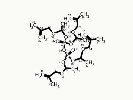 C=C(C)COC(C)OP(=O)(OC(C)OCC(=C)C)OP(=O)(OC(C)OCC(=C)C)OC(C)OCC(=C)C